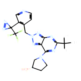 CC(C)(C)c1nc(N2CC[C@H](O)C2)c2nn(Cc3ccncc3C3(C(F)(F)F)N=N3)nc2n1